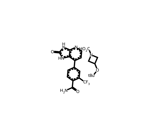 CC(C)(C)OC1CN(C(=O)O)C1.NC(=O)c1ccc(-c2ccnc3[nH]c(=O)[nH]c23)cc1C(F)(F)F